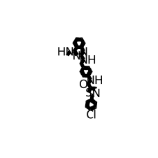 CNc1nc(NCc2ccc(NC(=O)c3cnc(-c4ccc(Cl)cc4)s3)cc2)nc2ccccc12